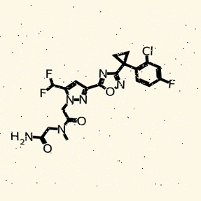 CN(CC(N)=O)C(=O)Cn1nc(-c2nc(C3(c4ccc(F)cc4Cl)CC3)no2)cc1C(F)F